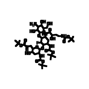 CC(C)(C)OC(=O)NCCC(O)C(=O)NC1CC(NC(=O)OC(C)(C)C)C(OC2OC(CNC(=O)OC(C)(C)C)C(O)CC2NC(=O)OC(C)(C)C)C(F)C1OC1OC(CO)C(O)C(N)C1O